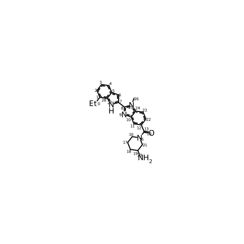 CCc1cccc2cc(-c3nc4cc(C(=O)N5CCCC(N)C5)ccc4n3C)[nH]c12